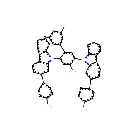 N#Cc1ccc(-c2ccc3c4ccccc4n(-c4cc(-c5cc(C(F)(F)F)cc(C(F)(F)F)c5)c(-n5c6ccccc6c6ccc(-c7ccc(C#N)cc7)cc65)cc4C#N)c3c2)cc1